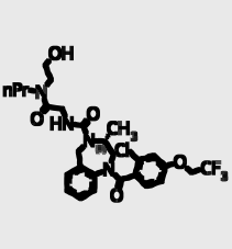 CCCN(CCO)C(=O)CNC(=O)N1Cc2ccccc2N(C(=O)c2ccc(OCC(F)(F)F)cc2Cl)C[C@H]1C